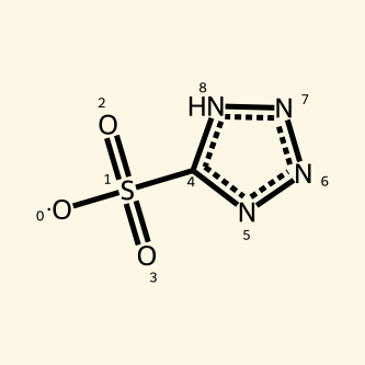 [O]S(=O)(=O)c1nnn[nH]1